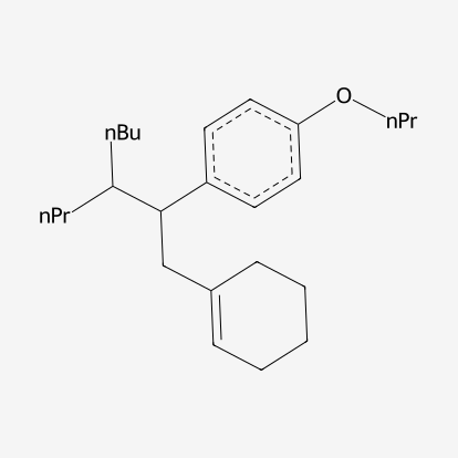 CCCCC(CCC)C(CC1=CCCCC1)c1ccc(OCCC)cc1